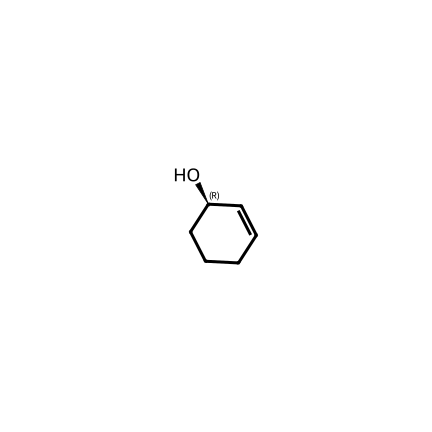 O[C@H]1C=CCCC1